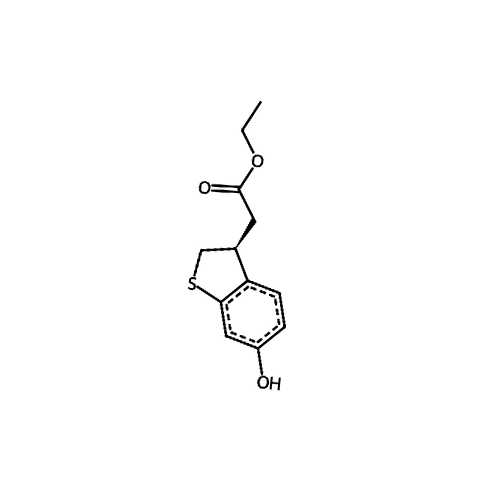 CCOC(=O)C[C@@H]1CSc2cc(O)ccc21